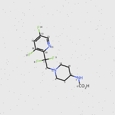 O=C(O)NC1CCN(CC(F)(F)c2ncc(F)cc2F)CC1